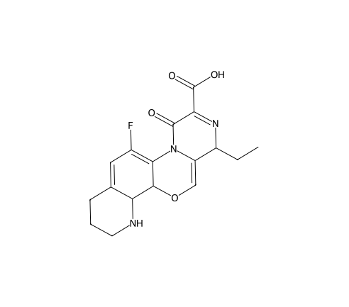 CCC1N=C(C(=O)O)C(=O)N2C1=COC1C2=C(F)C=C2CCCNC21